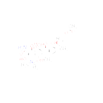 CC(=O)OCCCC(C)(C)c1ccc2c(c1O)C(=O)C1=C(O)C3(O)C(=O)C(C(N)=O)=C(O)C(N(C)C)C3C(O)C1C2C